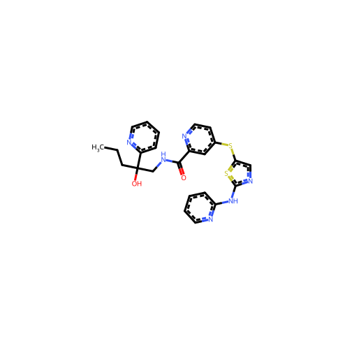 CCCC(O)(CNC(=O)c1cc(Sc2cnc(Nc3ccccn3)s2)ccn1)c1ccccn1